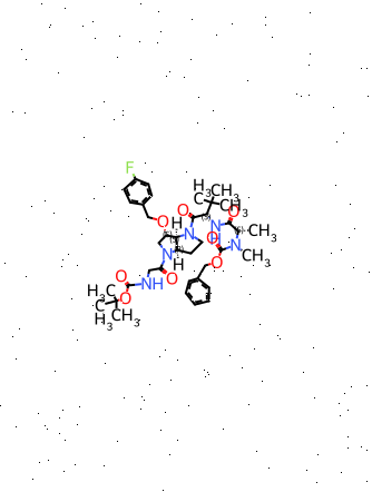 C[C@@H](C(=O)N[C@H](C(=O)N1CC[C@@H]2[C@H]1[C@@H](OCc1ccc(F)cc1)CN2C(=O)CNC(=O)OC(C)(C)C)C(C)(C)C)N(C)C(=O)OCc1ccccc1